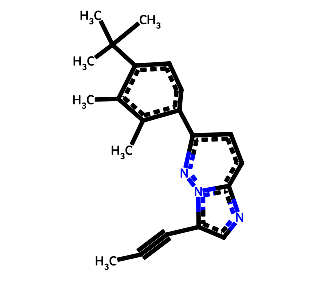 CC#Cc1cnc2ccc(-c3ccc(C(C)(C)C)c(C)c3C)nn12